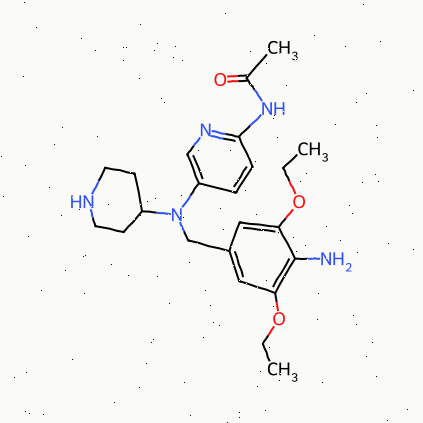 CCOc1cc(CN(c2ccc(NC(C)=O)nc2)C2CCNCC2)cc(OCC)c1N